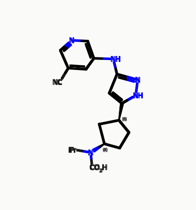 CC(C)N(C(=O)O)[C@@H]1CC[C@H](c2cc(Nc3cncc(C#N)c3)n[nH]2)C1